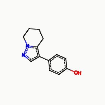 Oc1ccc(-c2cnn3c2CCCC3)cc1